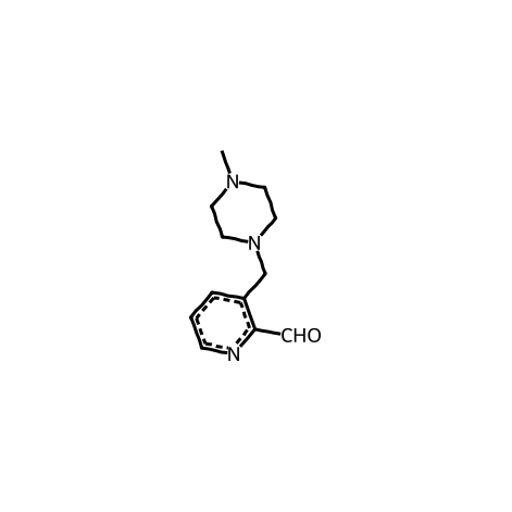 CN1CCN(Cc2cccnc2C=O)CC1